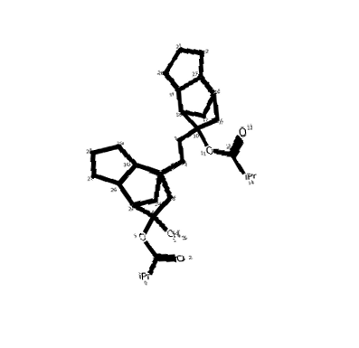 CC(C)C(=O)OC1(C)CC2(CCC3(OC(=O)C(C)C)CC4CC3C3CCCC43)CC1C1CCCC12